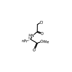 CCC[C@H](NC(=O)CCl)C(=O)OC